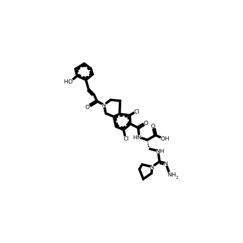 N/N=C(/NC[C@H](NC(=O)c1c(Cl)cc2c(c1Cl)CCN(C(=O)/C=C/c1ccccc1O)C2)C(=O)O)N1CCCC1